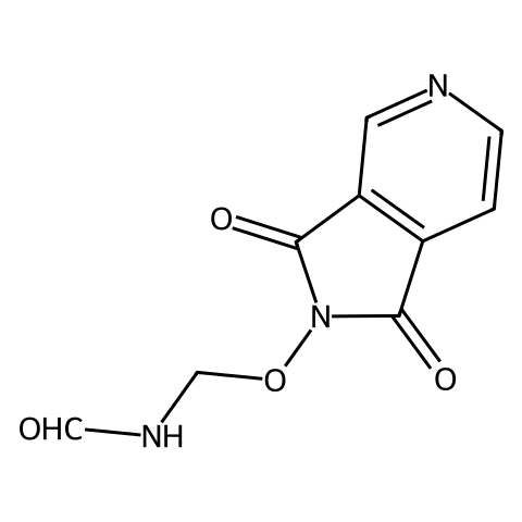 O=CNCON1C(=O)c2ccncc2C1=O